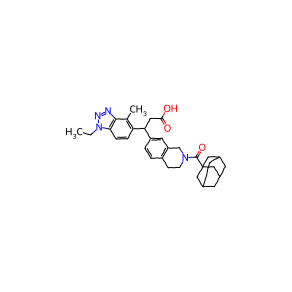 CCn1nnc2c(C)c(C(CC(=O)O)c3ccc4c(c3)CN(C(=O)C35CC6CC(CC(C6)C3)C5)CC4)ccc21